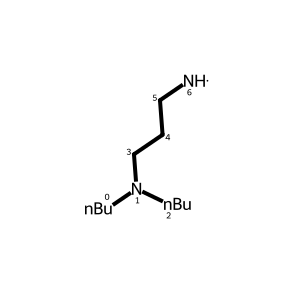 CCCCN(CCCC)CCC[NH]